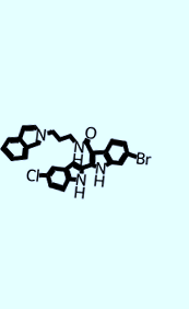 O=C(NCCC[n+]1ccc2ccccc2c1)c1c(-c2cc3cc(Cl)ccc3[nH]2)[nH]c2cc(Br)ccc12